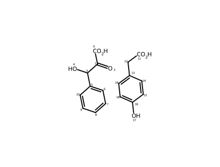 O=C(O)C(=O)C(O)c1ccccc1.O=C(O)Cc1ccc(O)cc1